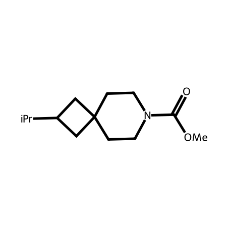 COC(=O)N1CCC2(CC1)CC(C(C)C)C2